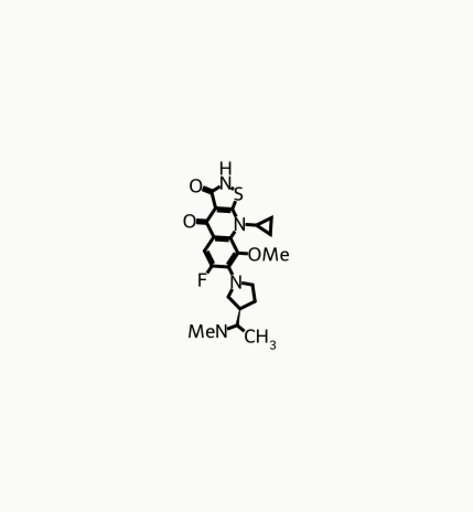 CNC(C)[C@@H]1CCN(c2c(F)cc3c(=O)c4c(=O)[nH]sc4n(C4CC4)c3c2OC)C1